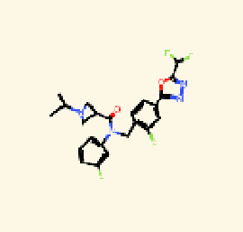 CC(C)N1CC(C(=O)N(Cc2ccc(-c3nnc(C(F)F)o3)cc2F)c2cccc(F)c2)C1